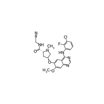 COc1cc2ncnc(Nc3cccc(Cl)c3F)c2cc1O[C@H]1C[C@H](C(=O)NCC#N)N(C)C1